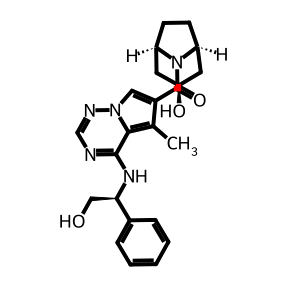 Cc1c(C(=O)N2[C@@H]3CC[C@H]2C[C@@H](O)C3)cn2ncnc(N[C@H](CO)c3ccccc3)c12